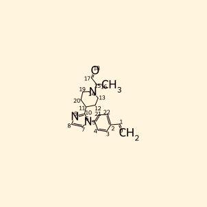 C=Cc1ccc(-n2ccnc2C2CCN(C(C)C=O)CC2)cc1